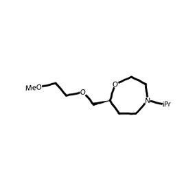 COCCOC[C@@H]1CCN(C(C)C)CCO1